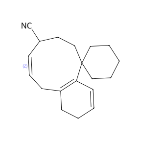 N#CC1/C=C\CC2=C(C=CCC2)C2(CCCCC2)CC1